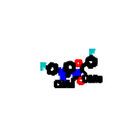 COCC(=O)N[C@@H](COC)[C@@H](Oc1ccc2c(cnn2-c2ccc(F)cc2)c1)c1cccc(F)c1